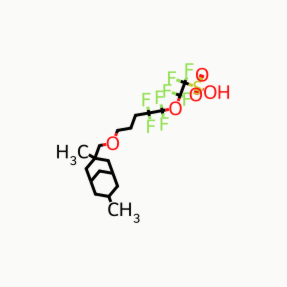 CC1CC2CC(C1)CC(C)(COCCCC(F)(F)C(F)(F)OC(F)(F)C(F)(F)S(=O)(=O)O)C2